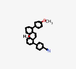 COc1ccc(-c2cccc(C)c2/C=C\c2c(C)cccc2-c2ccc(C#N)cc2)cc1